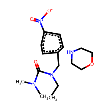 C1COCCN1.CCN(Cc1ccc([N+](=O)[O-])cc1)C(=O)N(C)C